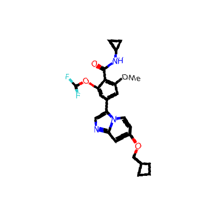 COc1cc(-c2cnc3cc(OCC4CCC4)ccn23)cc(OC(F)F)c1C(=O)NC1CC1